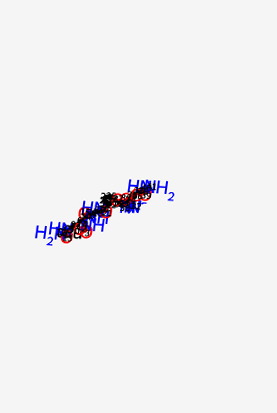 CC(C)(C)OC(=O)NC(CCCCNC(N)=O)C(=O)NCCNC(=O)c1cccc(OCC(N=[N+]=[N-])OCCOCC(=O)NN)c1